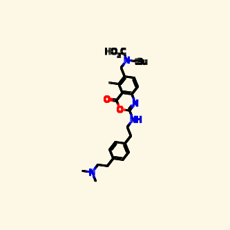 Cc1c(CN(C(=O)O)C(C)(C)C)ccc2nc(NCCc3ccc(CCN(C)C)cc3)oc(=O)c12